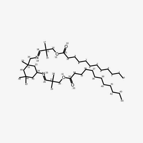 CCCCCCCCCCCC(=O)OCC(C)(C)C=NCC1(C)CC(N=CC(C)(C)COC(=O)CCCCCCCCCCC)CC(C)(C)C1